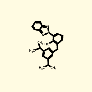 CC(C)c1cc(Cc2cccc(-n3nc4ccccc4n3)c2O)cc(C(C)C)c1